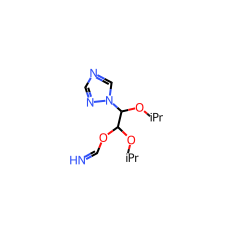 CC(C)OC(OC=N)C(OC(C)C)n1cncn1